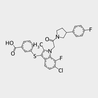 Cc1c(Sc2cccc(C(=O)O)c2)c2ccc(Cl)c(F)c2n1CC(=O)N1CCC(c2ccc(F)cc2)C1